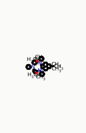 CC(C)(C)c1cc2ccc3c4cc(c5ccc(c1)c2c35)N(c1ccccc1[Si](C)(C)C)c1cccc(c1)N(c1ccccc1)c1cccc(c1)N4c1ccccc1[Si](C)(C)C